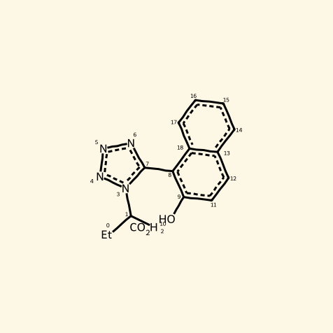 CCC(C(=O)O)n1nnnc1-c1c(O)ccc2ccccc12